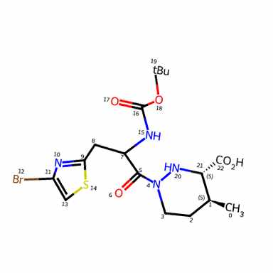 C[C@H]1CCN(C(=O)C(Cc2nc(Br)cs2)NC(=O)OC(C)(C)C)N[C@@H]1C(=O)O